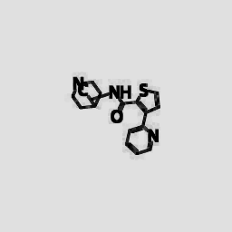 O=C(NC1CN2CCC1CC2)c1sccc1-c1ccccn1